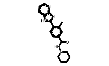 Cc1cc(C(=O)NN2CCCCC2)ccc1-c1nc2ncccc2[nH]1